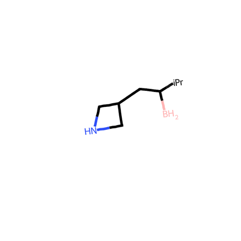 BC(CC1CNC1)C(C)C